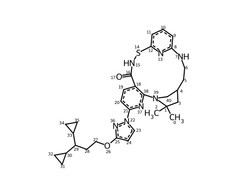 CC1(C)CC2CCNc3cccc(n3)SNC(=O)c3ccc(-n4ccc(OCCC(C5CC5)C5CC5)n4)nc3N1C2